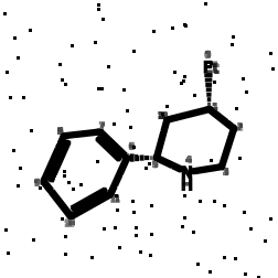 CC[C@@H]1CCN[C@H](c2ccccc2)C1